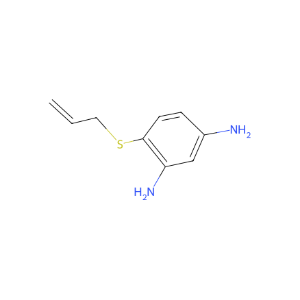 C=CCSc1ccc(N)cc1N